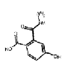 NNC(=O)c1cc(O)ccc1C(=O)O